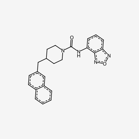 O=C(Nc1cccc2nonc12)N1CCC(Cc2ccc3ccccc3c2)CC1